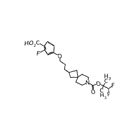 CC(C)(OC(=O)N1CCC2(CC1)CC(CCCOc1ccc(C(=O)O)c(F)c1)C2)C(F)F